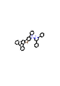 CC1(c2ccccc2)c2ccccc2-c2c1ccc1c2sc2cc3c(cc21)c1ccccc1n3-c1cc(-c2ccccc2)cc(-c2ccccc2)n1